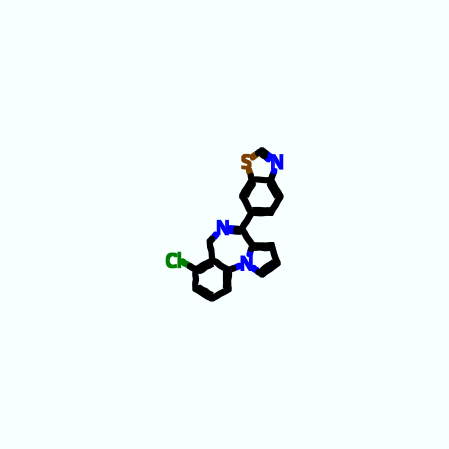 Clc1cccc2c1CN=C(c1ccc3ncsc3c1)c1cccn1-2